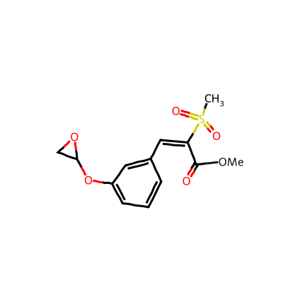 COC(=O)/C(=C\c1cccc(OC2CO2)c1)S(C)(=O)=O